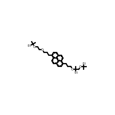 CCC(C)(C)OCCOCCCc1ccc2ccc3c(CCCOC(C)(CC)COC(C)(C)CC)ccc4ccc1c2c43